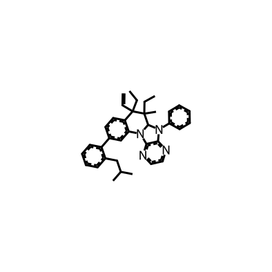 C=CC1(CC)c2ccc(-c3ccccc3CC(C)C)cc2N2c3nccnc3N(c3ccccc3)C2C1(C)CC